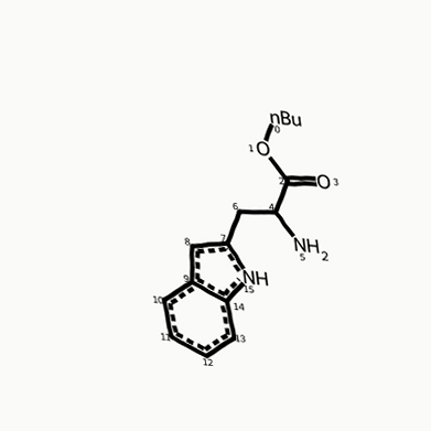 CCCCOC(=O)C(N)Cc1cc2ccccc2[nH]1